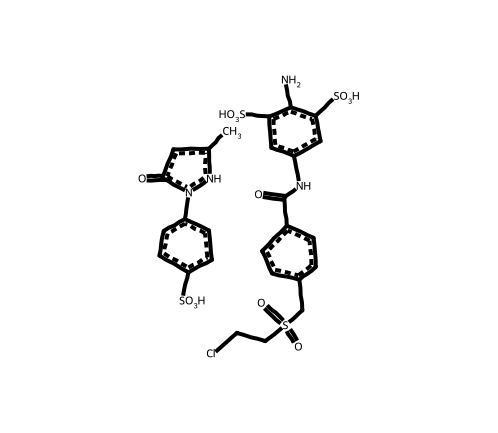 Cc1cc(=O)n(-c2ccc(S(=O)(=O)O)cc2)[nH]1.Nc1c(S(=O)(=O)O)cc(NC(=O)c2ccc(CS(=O)(=O)CCCl)cc2)cc1S(=O)(=O)O